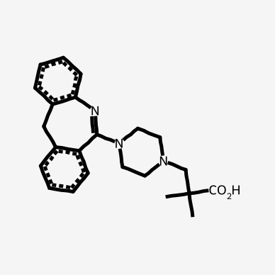 CC(C)(CN1CCN(C2=Nc3ccccc3Cc3ccccc32)CC1)C(=O)O